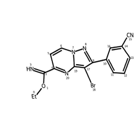 CCOC(=N)c1ccn2nc(-c3cccc(C#N)c3)c(Br)c2n1